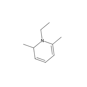 CCN1C(C)=CC=CC1C